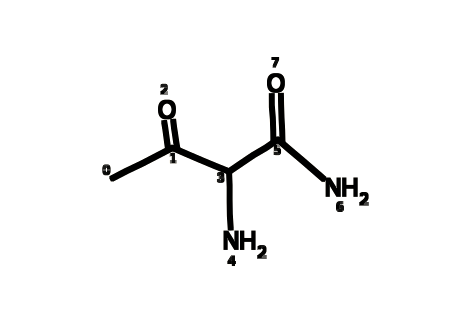 CC(=O)C(N)C(N)=O